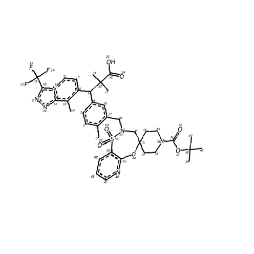 Cc1ccc(C(c2ccn3c(C(F)(F)F)nnc3c2C)C(C)(C)C(=O)O)cc1CN1CC2(CCN(C(=O)OC(C)(C)C)CC2)Oc2ncccc2S1(=O)=O